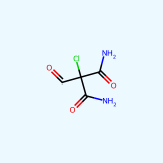 NC(=O)C(Cl)([C]=O)C(N)=O